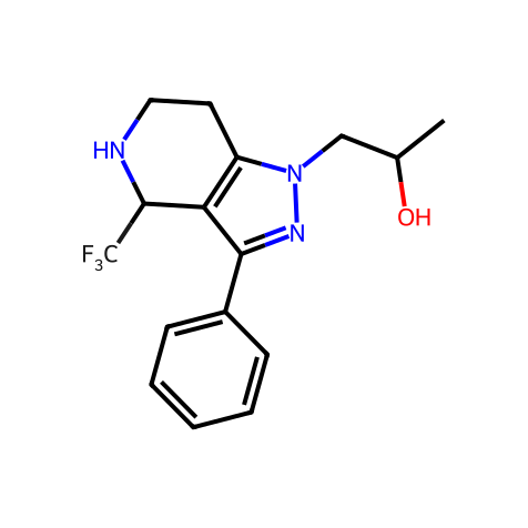 CC(O)Cn1nc(-c2ccccc2)c2c1CCNC2C(F)(F)F